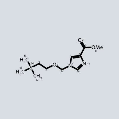 COC(=O)c1cn(COCCS(C)(C)C)cn1